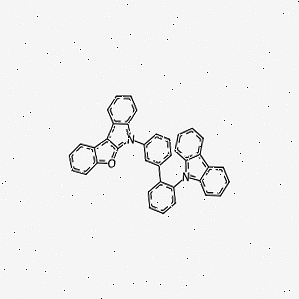 c1cc(-c2ccccc2-n2c3ccccc3c3ccccc32)cc(-n2c3ccccc3c3c4ccccc4oc32)c1